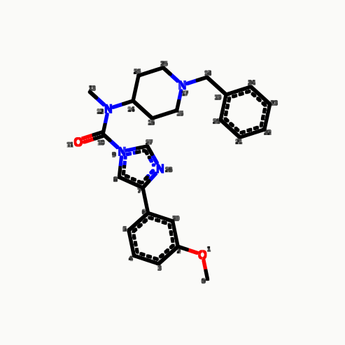 COc1cccc(-c2cn(C(=O)N(C)C3CCN(Cc4ccccc4)CC3)cn2)c1